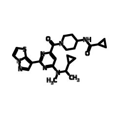 CC(C1CC1)N(C)c1cc(C(=O)N2CCC(NC(=O)C3CC3)CC2)nc(-c2cnn3ccsc23)n1